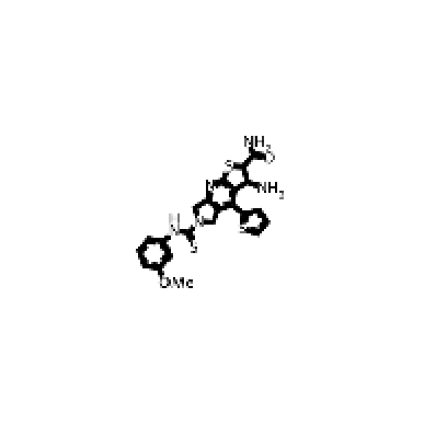 COc1cccc(NC(=S)N2Cc3nc4c(c(-c5cccs5)c3C2)C(N)C(C(N)=O)S4)c1